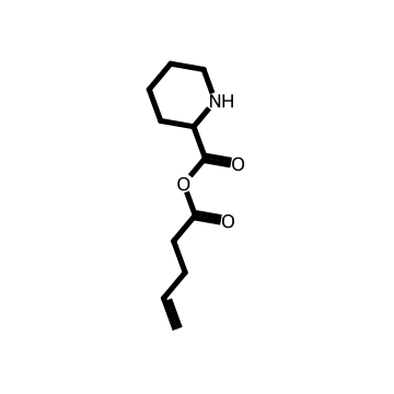 C=CCCC(=O)OC(=O)C1CCCCN1